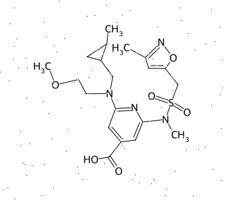 COCCN(CC1CC1C)c1cc(C(=O)O)cc(N(C)S(=O)(=O)Cc2cc(C)no2)n1